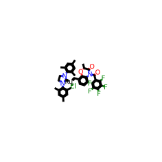 Cc1cc(C)c(N2CCN(c3c(C)cc(C)cc3C)[CH]2[Ru]([Cl])=[CH]c2cccc3c2OC(C)C(=O)N3C(=O)c2c(F)c(F)c(F)c(F)c2F)c(C)c1